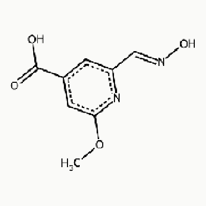 COc1cc(C(=O)O)cc(C=NO)n1